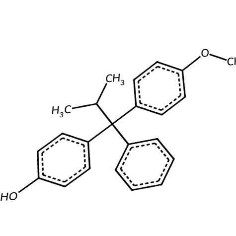 COc1ccc(C(c2ccccc2)(c2ccc(O)cc2)C(C)C)cc1